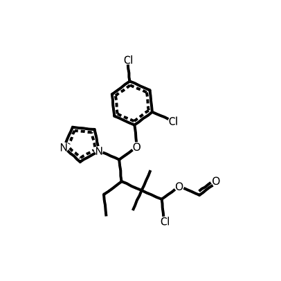 CCC(C(Oc1ccc(Cl)cc1Cl)n1ccnc1)C(C)(C)C(Cl)OC=O